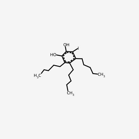 CCCCCc1c(O)c(O)c(I)c(CCCCC)c1CCCCC